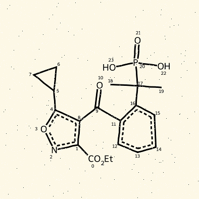 CCOC(=O)c1noc(C2CC2)c1C(=O)c1ccccc1C(C)(C)P(=O)(O)O